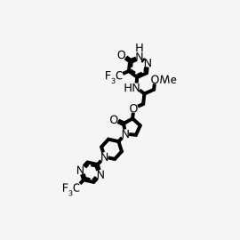 COCC(COC1CCN(C2CCN(c3cnc(C(F)(F)F)cn3)CC2)C1=O)Nc1cn[nH]c(=O)c1C(F)(F)F